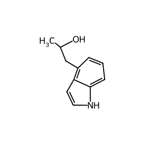 CC(O)Cc1cccc2[nH]ccc12